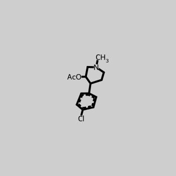 CC(=O)OC1CN(C)CCC1c1ccc(Cl)cc1